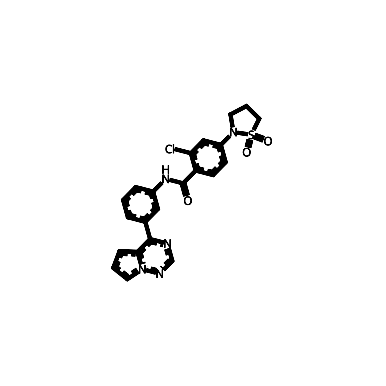 O=C(Nc1cccc(-c2ncnn3cccc23)c1)c1ccc(N2CCCS2(=O)=O)cc1Cl